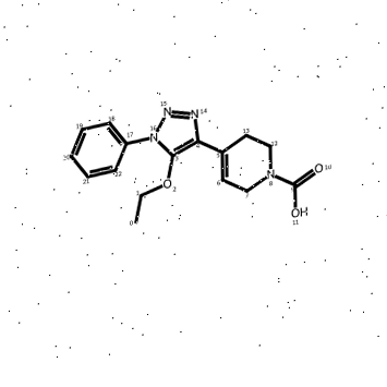 CCOc1c(C2=CCN(C(=O)O)CC2)nnn1-c1ccccc1